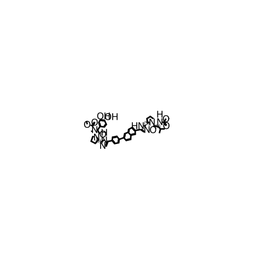 COC(=O)N[C@H](C(=O)N1CCC[C@H]1c1ncc(-c2ccc3cc(-c4ccc(-c5cnc([C@@H]6CCCN6C(=O)C(c6ccc(O)c(O)c6)N(C)C(=O)OC)[nH]5)cc4)ccc3c2)[nH]1)C(C)C